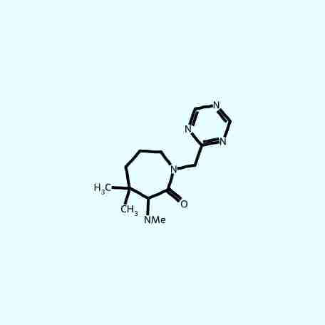 CNC1C(=O)N(Cc2ncncn2)CCCC1(C)C